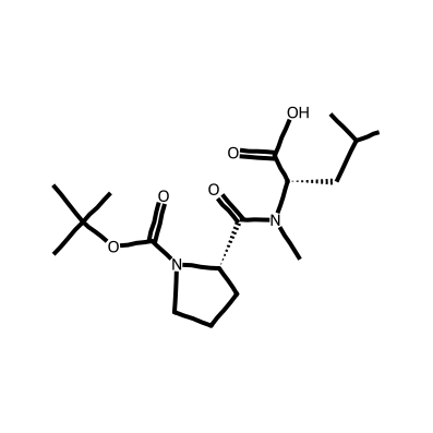 CC(C)C[C@@H](C(=O)O)N(C)C(=O)[C@@H]1CCCN1C(=O)OC(C)(C)C